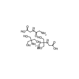 NC(CO)(CO)CO.NCC(=O)NCC(=O)O.O=C(O)CNC(CO)(CO)CO